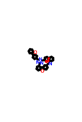 c1ccc(-c2nc(-c3ccc4c(c3)oc3ccccc34)nc(-c3cccc4oc5ccc(-c6nc7ccccc7o6)cc5c34)n2)cc1